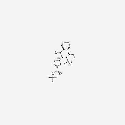 CCSc1ccccc1C(=O)N(CC1(C)CC1)[C@H]1CCN(C(=O)OC(C)(C)C)C1